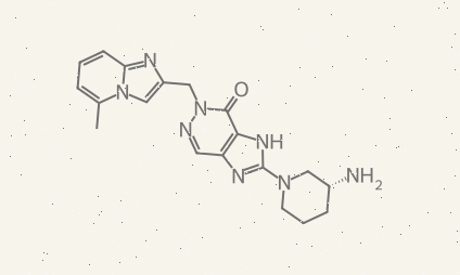 Cc1cccc2nc(Cn3ncc4nc(N5CCC[C@@H](N)C5)[nH]c4c3=O)cn12